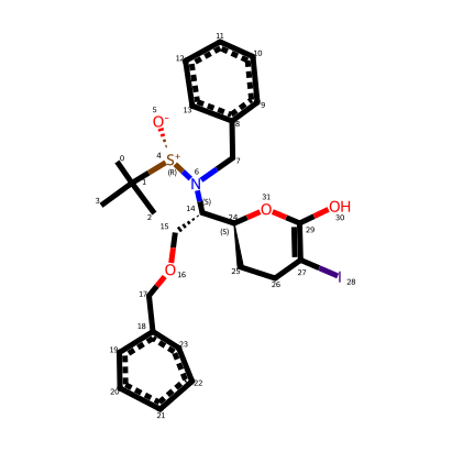 CC(C)(C)[S@+]([O-])N(Cc1ccccc1)[C@@H](COCc1ccccc1)[C@@H]1CCC(I)=C(O)O1